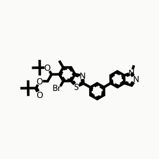 Cc1cc2nc(-c3cccc(-c4ccc5c(cnn5C)c4)c3)sc2c(Br)c1C(COC(=O)C(C)(C)C)OC(C)(C)C